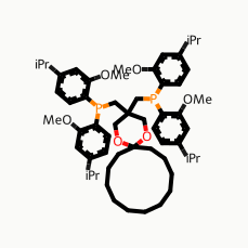 COc1cc(C(C)C)ccc1P(CC1(CP(c2ccc(C(C)C)cc2OC)c2ccc(C(C)C)cc2OC)COC2(CCCCCCCCCCC2)OC1)c1ccc(C(C)C)cc1OC